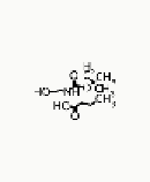 CC(C)(C)OC(=O)NCCO.CCCC(=O)O